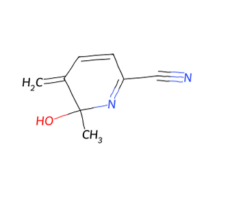 C=C1C=CC(C#N)=NC1(C)O